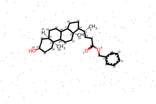 C[C@H](CCC(=O)OCc1ccccc1)C1CCC2C3CC[C@@H]4C[C@H](O)CC[C@]4(C)C3CC[C@@]21C